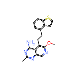 COc1ncc2nc(C)nc(N)c2c1CCc1cccc2sccc12